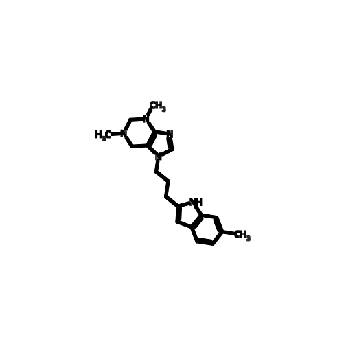 Cc1ccc2cc(CCCn3cnc4c3CN(C)CN4C)[nH]c2c1